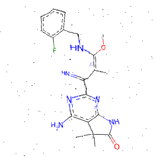 CO/C(NCc1ccccc1F)=C(\C)C(=N)c1nc(N)c2c(n1)NC(=O)C2(C)C